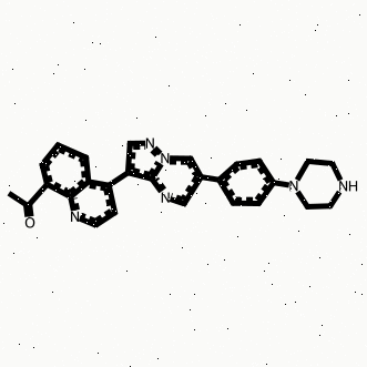 CC(=O)c1cccc2c(-c3cnn4cc(-c5ccc(N6CCNCC6)cc5)cnc34)ccnc12